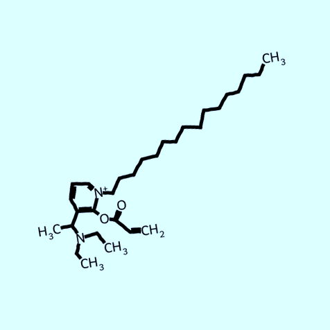 C=CC(=O)Oc1c(C(C)N(CC)CC)ccc[n+]1CCCCCCCCCCCCCCCC